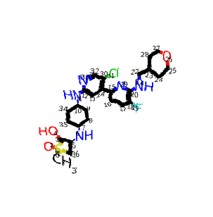 CS1(=O)=C(O)[C@H](N[C@H]2CC[C@H](Nc3cc(-c4ccc(F)c(NCC5CCOCC5)n4)c(Cl)cn3)CC2)C1